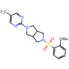 COc1ccccc1S(=O)(=O)N1CC2CN(c3ncc(C(F)(F)F)cn3)CC2C1